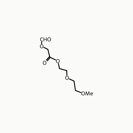 COCCOCCOC(=O)COC=O